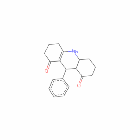 O=C1CCCC2=C1C(c1ccccc1)C1C(=O)CCCC1N2